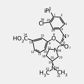 CC(C)c1ccc(N=S(=O)(Oc2cccc(C(=O)O)c2)N2CC[C@H](N(C)C)C2)cc1Cl